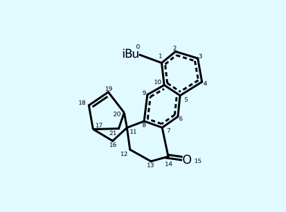 CCC(C)c1cccc2cc3c(cc12)C1(CCC3=O)CC2C=CC1C2